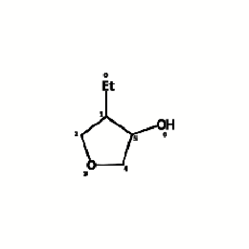 CCC1COCC1O